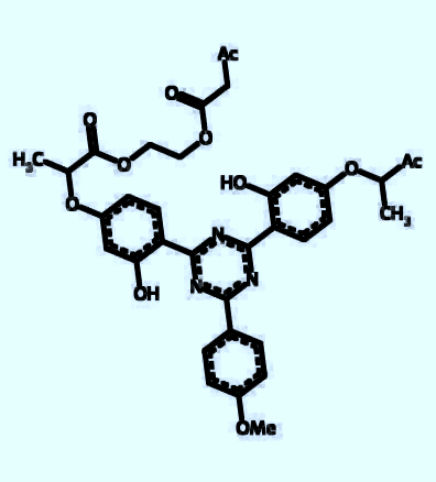 COc1ccc(-c2nc(-c3ccc(OC(C)C(C)=O)cc3O)nc(-c3ccc(OC(C)C(=O)OCCOC(=O)CC(C)=O)cc3O)n2)cc1